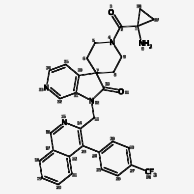 NC1(C(=O)N2CCC3(CC2)C(=O)N(Cc2ncc4ccccc4c2-c2ccc(C(F)(F)F)cc2)c2cnccc23)CC1